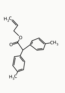 C=CCOC(=O)C(c1ccc(C)cc1)c1ccc(C)cc1